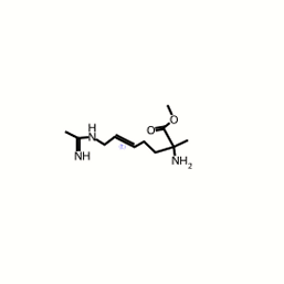 COC(=O)C(C)(N)CC/C=C/CNC(C)=N